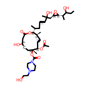 CCC(O)C(C)[C@H]1O[C@@H]1CC(C)(O)/C=C/CC(C)[C@H]1OC(=O)C[C@H](O)CC[C@@](C)(OC(=O)N2CCN(CCO)CC2)[C@@H](OC(C)=O)/C=C/[C@@H]1C